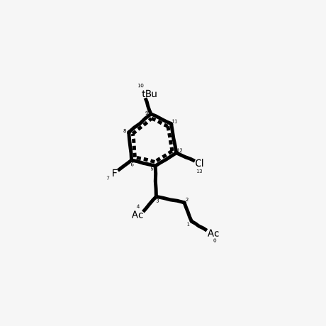 CC(=O)CCC(C(C)=O)c1c(F)cc(C(C)(C)C)cc1Cl